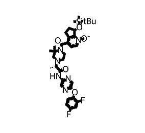 C[C@@H](C(=O)Nc1cnc(Oc2ccc(F)cc2F)cn1)N1CCN(C(=O)c2cc[n+]([O-])c3c2CCC3O[Si](C)(C)C(C)(C)C)C(C)(C)C1